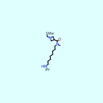 CSCN1CC(C(=O)N(C)CCCCCCCCNC(C)C)C1